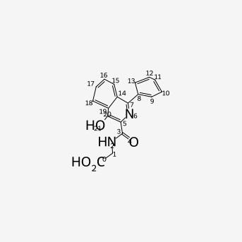 O=C(O)CNC(=O)c1nc(-c2ccccc2)c2ccccc2c1O